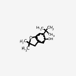 CC1(C)Cc2cc(O)c(C(C)(C)C)cc2O1